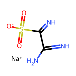 N=C(N)C(=N)S(=O)(=O)[O-].[Na+]